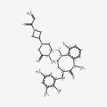 C=CC(=O)N1CC(N2CC(=O)N(C)[C@@H](CN3CC[C@H](Nc4nc(C)cc(C(F)(F)F)c4C#N)C(=O)N(C)c4cccc(F)c43)C2)C1